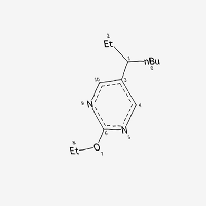 CCCCC(CC)c1cnc(OCC)nc1